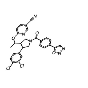 CC(Oc1ccc(C#N)cn1)C1CN(C(=O)c2ccc(-c3cnno3)cc2)CC1c1ccc(Cl)c(Cl)c1